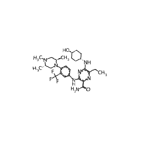 CCc1nc(C(N)=O)c(Nc2ccc(N3C[C@H](C)N(C)C[C@H]3C)c(C(F)(F)F)c2)nc1N[C@H]1CC[C@H](O)CC1